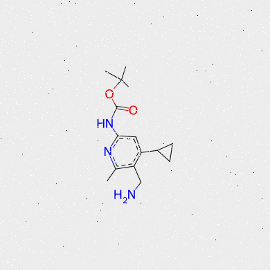 Cc1nc(NC(=O)OC(C)(C)C)cc(C2CC2)c1CN